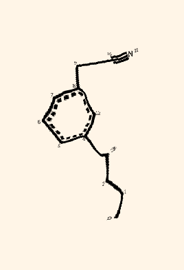 CCCCc1cccc(CC#N)c1